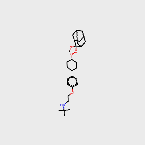 COC1(OO[C@H]2CC[C@@H](c3ccc(OCCNC(C)(C)C)cc3)CC2)C2CC3CC(C2)CC1C3